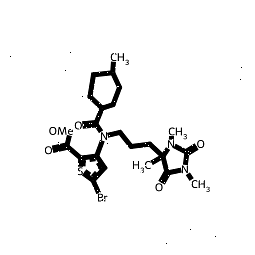 COC(=O)c1sc(Br)cc1N(CCCC1(C)C(=O)N(C)C(=O)N1C)C(=O)C1CCC(C)CC1